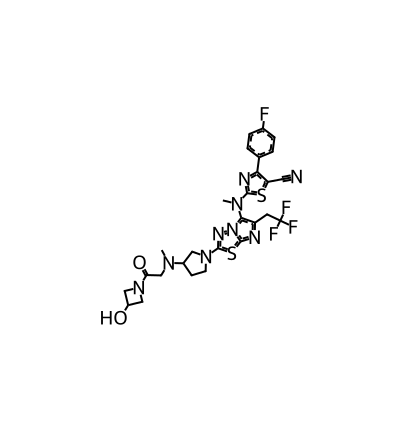 CN(c1nc(-c2ccc(F)cc2)c(C#N)s1)c1c(CC(F)(F)F)nc2sc(N3CCC(N(C)CC(=O)N4CC(O)C4)C3)nn12